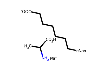 CC(N)C(=O)O.CCCCCCCCCCCCCCCC(=O)[O-].[Na+]